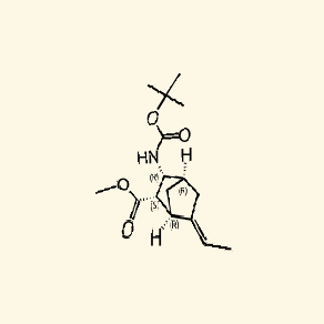 CC=C1C[C@H]2C[C@@H]1[C@H](C(=O)OC)[C@@H]2NC(=O)OC(C)(C)C